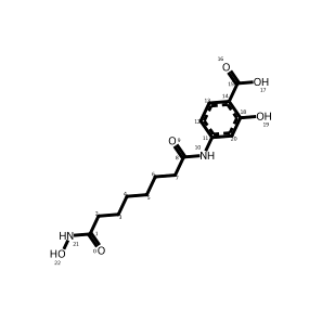 O=C(CCCCCCC(=O)Nc1ccc(C(=O)O)c(O)c1)NO